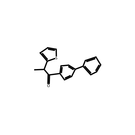 CC(C(=O)c1ccc(-c2ccccc2)cc1)c1cccs1